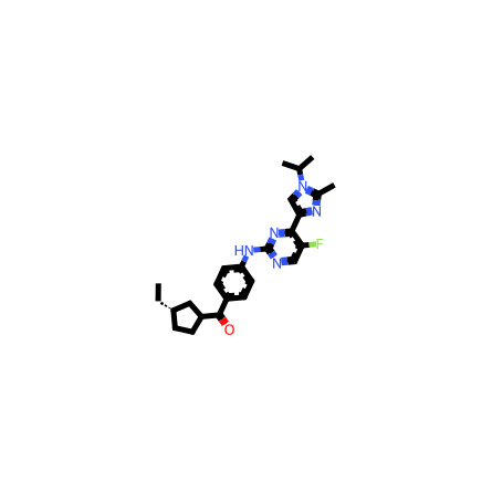 CC[C@H]1CCC(C(=O)c2ccc(Nc3ncc(F)c(-c4cn(C(C)C)c(C)n4)n3)cc2)C1